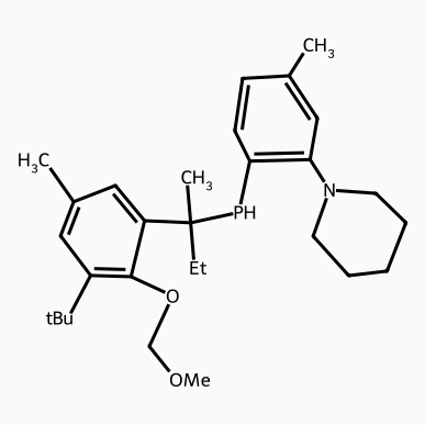 CCC(C)(Pc1ccc(C)cc1N1CCCCC1)c1cc(C)cc(C(C)(C)C)c1OCOC